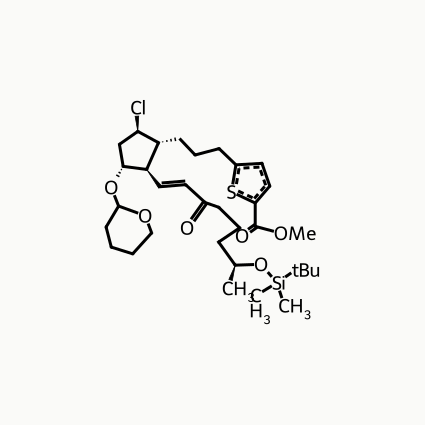 COC(=O)c1ccc(CCC[C@@H]2[C@@H](/C=C/C(=O)CCC[C@H](C)O[Si](C)(C)C(C)(C)C)[C@H](OC3CCCCO3)C[C@H]2Cl)s1